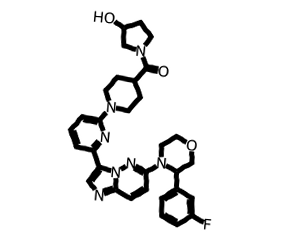 O=C(C1CCN(c2cccc(-c3cnc4ccc(N5CCOCC5c5cccc(F)c5)nn34)n2)CC1)N1CCC(O)C1